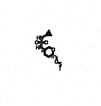 O=S(=O)(NC1CC1)N[C@@H]1CC[C@@H](COSI)OC1